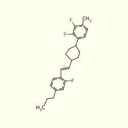 CCCc1ccc(/C=C/C2CCC(c3ccc(C)c(F)c3F)CC2)c(F)c1